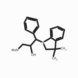 CNCC(O)C(c1ccccc1)N1CC(C)(C)c2ccccc21